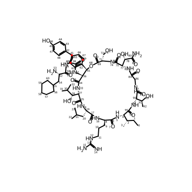 CC[C@H](C)[C@@H]1NC(=O)[C@@H](CCCNC(=N)N)NC(=O)[C@H](CC(C)C)NC(=O)[C@H]([C@H](O)C(C)C)NC(=O)[C@@H](NC(=O)[C@H](Cc2ccc(O)cc2)NC(=O)[C@@H](N)CC2CCCCC2)[C@@H](c2ccccc2)OC(=O)[C@H](CO)NC(=O)[C@H]([C@H](O)C(N)=O)NC(=O)CNC(=O)[C@H]([C@H](C)O)NC1=O